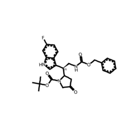 CC(C)(C)OC(=O)N1CC(=O)CC1[C@H](CNC(=O)OCc1ccccc1)c1c[nH]c2cc(F)ccc12